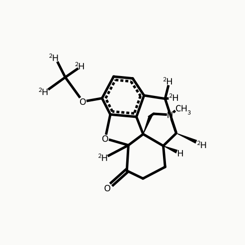 [2H]C([2H])([2H])Oc1ccc2c3c1OC1([2H])C(=O)CC[C@@H]4[C@@]31CCN(C)[C@]4([2H])C2([2H])[2H]